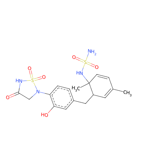 CC1=CC(Cc2ccc(N3CC(=O)NS3(=O)=O)c(O)c2)C(C)(NS(N)(=O)=O)C=C1